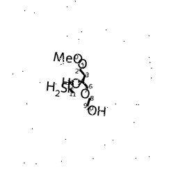 COOCCC(O)COCCO.C[SiH2]C